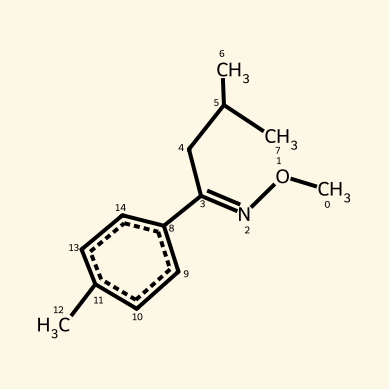 CO/N=C(\CC(C)C)c1ccc(C)cc1